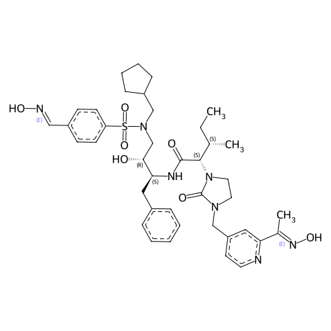 CC[C@H](C)[C@@H](C(=O)N[C@@H](Cc1ccccc1)[C@H](O)CN(CC1CCCC1)S(=O)(=O)c1ccc(/C=N/O)cc1)N1CCN(Cc2ccnc(/C(C)=N/O)c2)C1=O